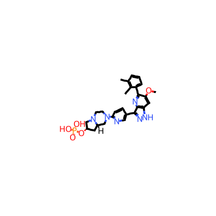 COc1cc2[nH]nc(-c3ccc(N4CCN5C[C@H](OP(=O)(O)O)C[C@H]5C4)nc3)c2nc1-c1cccc(C)c1C